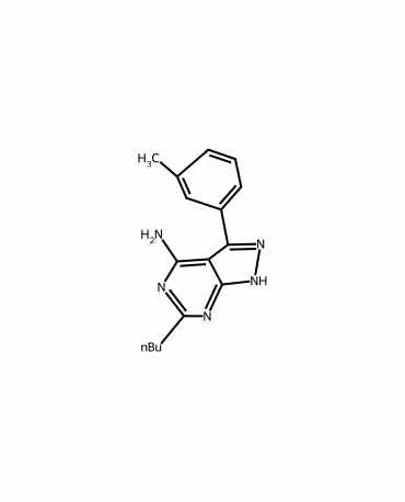 CCCCc1nc(N)c2c(-c3cccc(C)c3)n[nH]c2n1